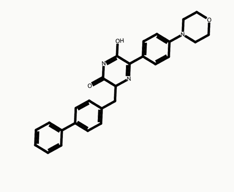 O=C1N=C(O)C(c2ccc(N3CCOCC3)cc2)=NC1Cc1ccc(-c2ccccc2)cc1